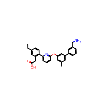 CCc1ccc(-c2cccc(Oc3cc(C)cc(-c4cccc(CN)c4)c3)n2)c(CC(=O)O)c1